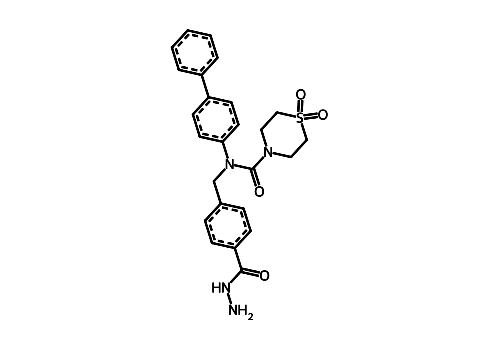 NNC(=O)c1ccc(CN(C(=O)N2CCS(=O)(=O)CC2)c2ccc(-c3ccccc3)cc2)cc1